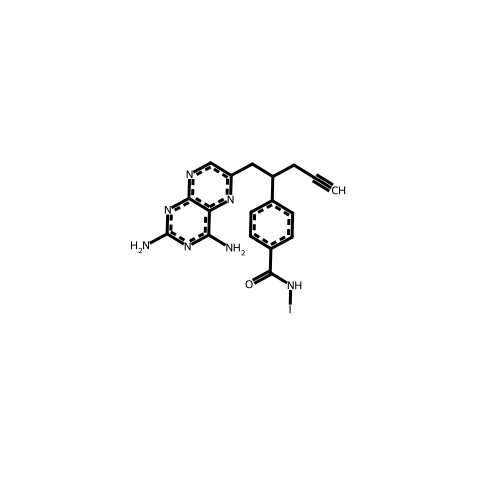 C#CCC(Cc1cnc2nc(N)nc(N)c2n1)c1ccc(C(=O)NI)cc1